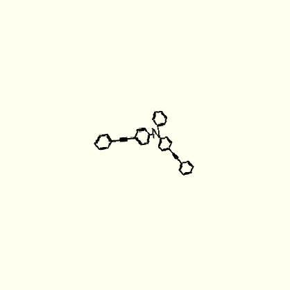 C(#Cc1ccc(N(c2ccccc2)c2ccc(C#Cc3ccccc3)cc2)cc1)c1ccccc1